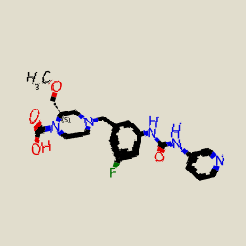 COC[C@@H]1CN(Cc2cc(F)cc(NC(=O)Nc3cccnc3)c2)CCN1C(=O)O